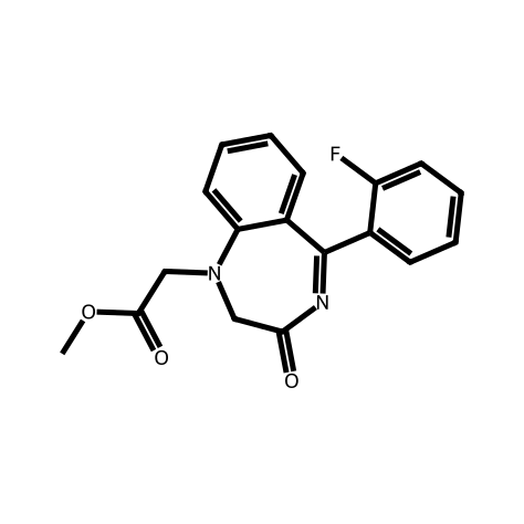 COC(=O)CN1CC(=O)N=C(c2ccccc2F)c2ccccc21